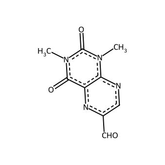 Cn1c(=O)c2nc(C=O)cnc2n(C)c1=O